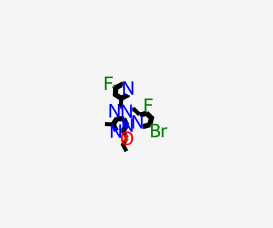 CCOc1nc(C)c2nc(-c3cncc(F)c3)n(Cc3ncc(Br)cc3F)c2n1